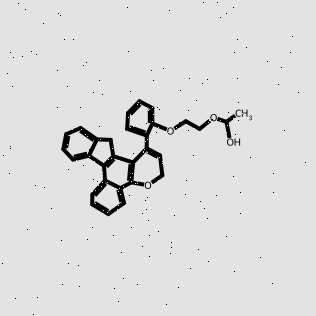 CC(O)OCCOc1ccccc1C1=CCOc2c1c1c(c3ccccc23)-c2ccccc2C1